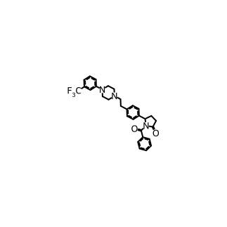 O=C1CCC(c2ccc(CCN3CCN(c4cccc(C(F)(F)F)c4)CC3)cc2)N1C(=O)c1ccccc1